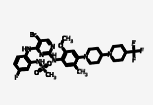 COc1cc(N2CCC(N3CCC(C(F)(F)F)CC3)CC2)c(C)cc1Nc1ncc(Br)c(Nc2ccc(F)cc2NS(C)(=O)=O)n1